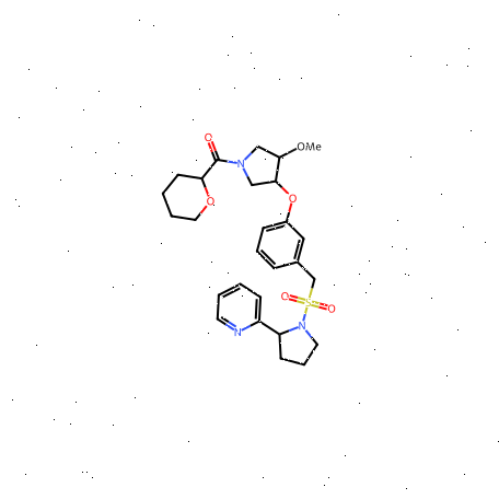 COC1CN(C(=O)C2CCCCO2)CC1Oc1cccc(CS(=O)(=O)N2CCCC2c2ccccn2)c1